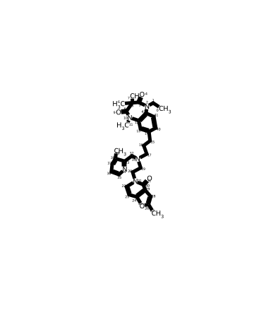 CCN1C(=O)C(C)(C)C(=O)N(C)c2cc(CCCN(CCn3ccc4oc(C)cc4c3=O)Cc3ncccc3C)ccc21